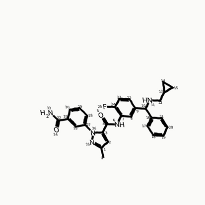 Cc1cc(C(=O)Nc2cc(C(NCC3CC3)c3ccccc3)ccc2F)n(-c2cccc(C(N)=O)c2)n1